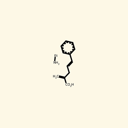 C=C(CC=Cc1ccccc1)C(=O)O.CCN